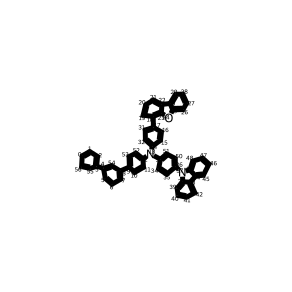 c1ccc(-c2cccc(-c3ccc(N(c4ccc(-c5cccc6c5oc5ccccc56)cc4)c4ccc(-n5c6ccccc6c6ccccc65)cc4)cc3)c2)cc1